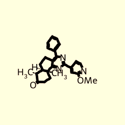 COc1cc(-c2nc(-c3ccccc3)c3c(n2)[C@]2(C)CCC(=O)[C@H](C)[C@H]2CC3)ccn1